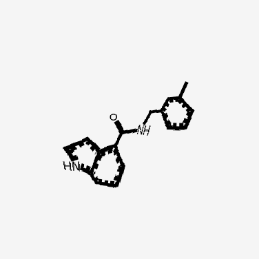 Cc1cccc(CNC(=O)c2cccc3[nH]ccc23)c1